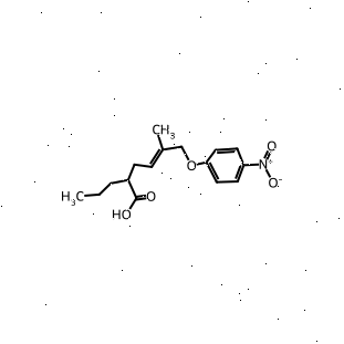 CCCC(CC=C(C)COc1ccc([N+](=O)[O-])cc1)C(=O)O